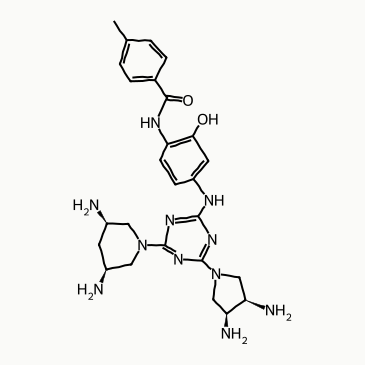 Cc1ccc(C(=O)Nc2ccc(Nc3nc(N4C[C@H](N)C[C@H](N)C4)nc(N4C[C@@H](N)[C@@H](N)C4)n3)cc2O)cc1